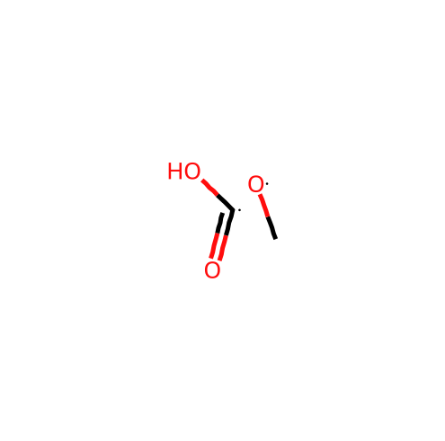 C[O].O=[C]O